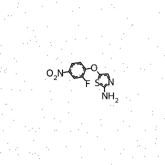 Nc1ncc(Oc2ccc([N+](=O)[O-])cc2F)s1